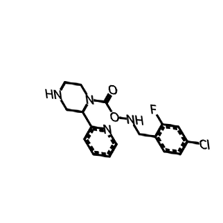 O=C(ONCc1ccc(Cl)cc1F)N1CCNCC1c1ccccn1